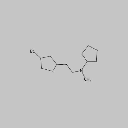 CCC1CCC(CCN(C)C2CCCC2)C1